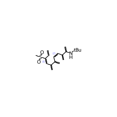 C=C/C(=C\C(=C)C(=C)/C=C\C(=C)C(=C)NC(C)(C)C)S(C)(=O)=O